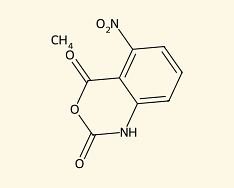 C.O=c1[nH]c2cccc([N+](=O)[O-])c2c(=O)o1